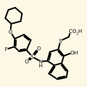 O=C(O)CSc1cc(NS(=O)(=O)c2ccc(OC3CCCCC3)c(F)c2)c2ccccc2c1O